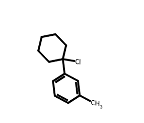 Cc1cccc(C2(Cl)CCCCC2)c1